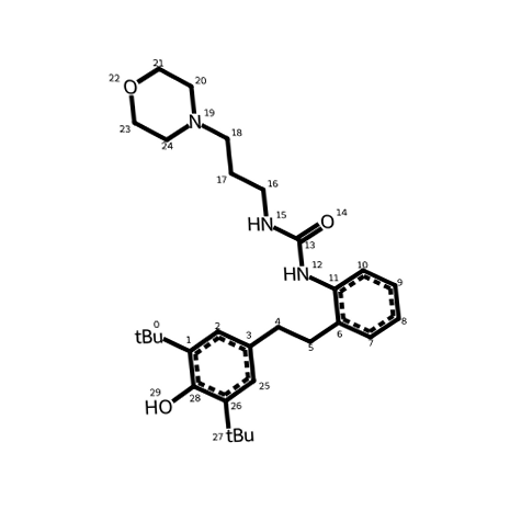 CC(C)(C)c1cc(CCc2ccccc2NC(=O)NCCCN2CCOCC2)cc(C(C)(C)C)c1O